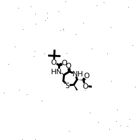 COC(=O)[C@H]1NC(=O)[C@@H](NC(=O)OC(C)(C)C)CS[C@@H]1C